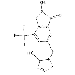 CC1C=CCN1Cc1cc2c(c(C(F)(F)F)c1)CN(C)C2=O